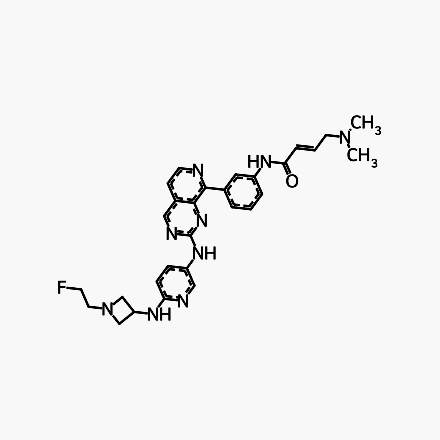 CN(C)CC=CC(=O)Nc1cccc(-c2nccc3cnc(Nc4ccc(NC5CN(CCF)C5)nc4)nc23)c1